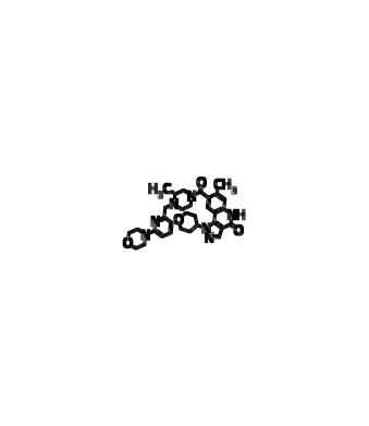 Cc1cc2[nH]c(=O)c3cnn(C4CCOCC4)c3c2cc1C(=O)N1CCN(Cc2cccc(N3CCOCC3)n2)[C@@H](C)C1